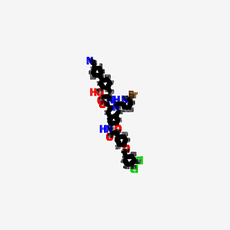 N#Cc1ccc(-c2ccc(C[C@H](NC(=O)[C@@H]3Cc4cc5c(cc4CN3Cc3cccc(Br)n3)OC(c3ccc(OCc4ccc(Cl)c(Cl)c4)cc3)C(=O)N5)C(=O)O)cc2)cc1